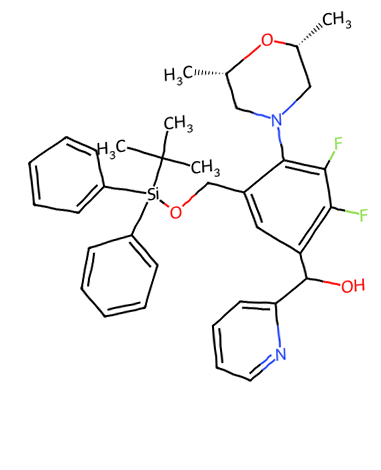 C[C@@H]1CN(c2c(CO[Si](c3ccccc3)(c3ccccc3)C(C)(C)C)cc(C(O)c3ccccn3)c(F)c2F)C[C@H](C)O1